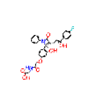 O=C(O)CNC(=O)COc1ccc([C@@H]2[C@@H](CC[C@H](O)c3ccc(F)cc3)C(=O)N2c2ccccc2)c(O)c1